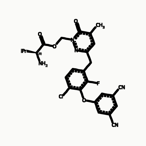 Cc1cc(Cc2ccc(Cl)c(Oc3cc(C#N)cc(C#N)c3)c2F)nn(COC(=O)[C@@H](N)C(C)C)c1=O